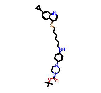 CC(C)(C)OC(=O)N1CCN(c2ccc(NCCCCCCSc3ccnc4cc(C5CC5)ccc34)cc2)CC1